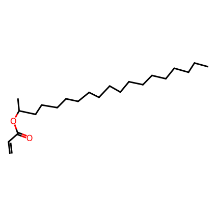 C=CC(=O)OC(C)CCCCCCCCCCCCCCCCC